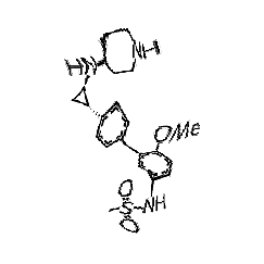 COc1ccc(NS(C)(=O)=O)cc1-c1ccc([C@@H]2C[C@H]2NC2CCNCC2)cc1